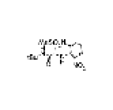 CSC[C@H](Nc1c([N+](=O)[O-])cccc1[N+](=O)[O-])C(=O)NC(C)(C)C